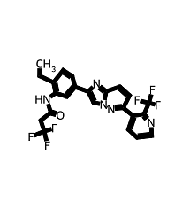 CCc1ccc(-c2cn3nc(-c4cccnc4C(F)(F)F)ccc3n2)cc1NC(=O)CC(F)(F)F